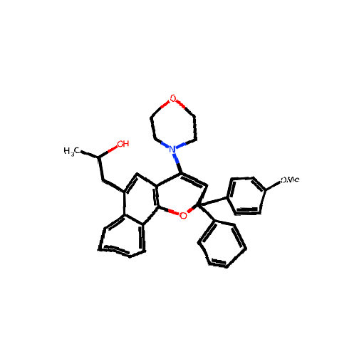 COc1ccc(C2(c3ccccc3)C=C(N3CCOCC3)c3cc(CC(C)O)c4ccccc4c3O2)cc1